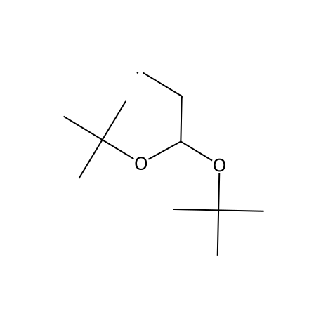 [CH2]CC(OC(C)(C)C)OC(C)(C)C